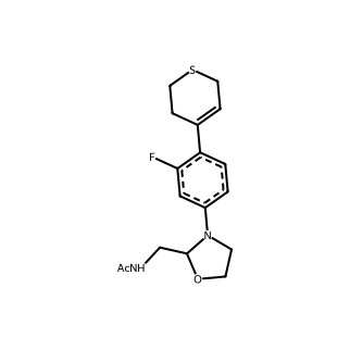 CC(=O)NCC1OCCN1c1ccc(C2=CCSCC2)c(F)c1